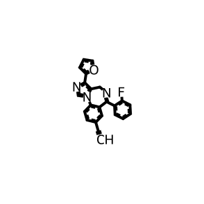 C#Cc1ccc2c(c1)C(c1ccccc1F)=NCc1c(-c3ccco3)ncn1-2